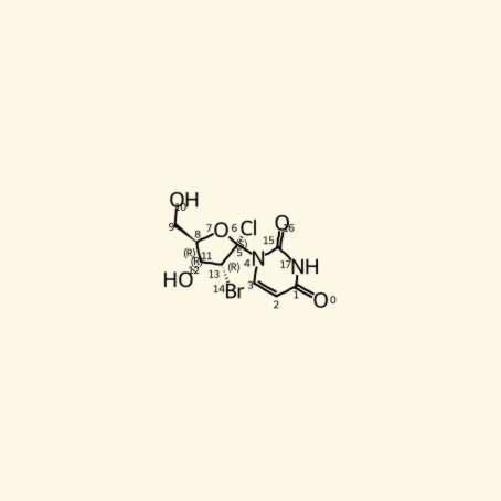 O=c1ccn([C@]2(Cl)O[C@H](CO)[C@@H](O)[C@H]2Br)c(=O)[nH]1